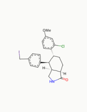 COc1ccc([C@@H]2CC[C@H]3C(=O)NC[C@H]3[C@H]2c2ccc(CI)cc2)c(Cl)c1